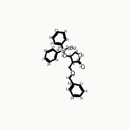 CC(C)(C)[Si](OC1COC(=O)C1COCc1ccccc1)(c1ccccc1)c1ccccc1